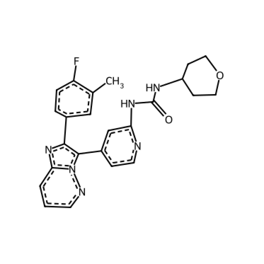 Cc1cc(-c2nc3cccnn3c2-c2ccnc(NC(=O)NC3CCOCC3)c2)ccc1F